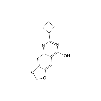 Oc1nc(C2CCC2)nc2cc3c(cc12)OCO3